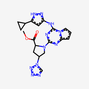 COC(=O)C1CC(n2cnnn2)CN1c1nc(Nc2cc(C3CC3)[nH]n2)n2cccc2n1